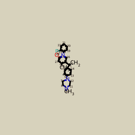 C=C(c1ccc(N2CCN(C)CC2)cc1)c1cn(-c2ccccc2F)c(=O)cc1C